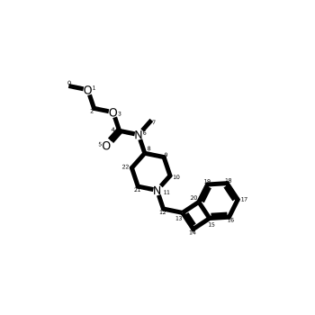 COCOC(=O)N(C)C1CCN(CC2=Cc3ccccc32)CC1